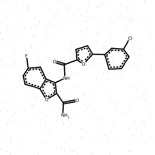 NC(=O)c1oc2ccc(F)cc2c1NC(=O)c1ccc(-c2cccc(Cl)c2)o1